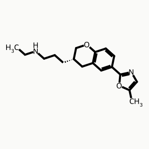 CCNCCC[C@@H]1COc2ccc(-c3ncc(C)o3)cc2C1